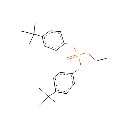 CCOP(=O)(Oc1ccc(C(C)(C)C)cc1)Oc1ccc(C(C)(C)C)cc1